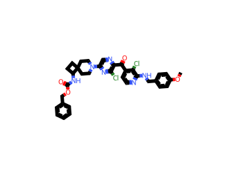 COc1ccc(CNc2nccc(C(=O)c3ncc(N4CCC5(CCC5NC(=O)OCc5ccccc5)CC4)nc3Cl)c2Cl)cc1